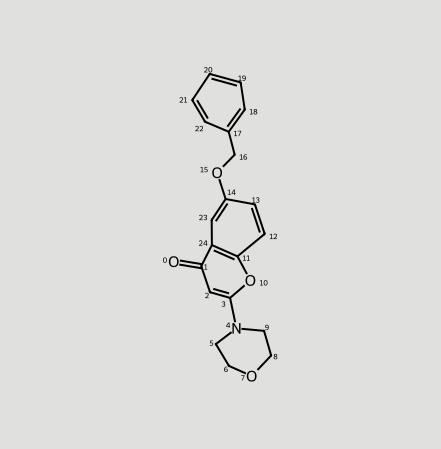 O=c1cc(N2CCOCC2)oc2ccc(OCc3ccccc3)cc12